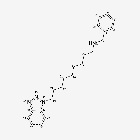 c1ccc(CNCCCCCCCCCn2nnc3ccccc32)cc1